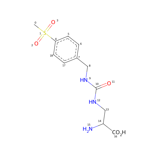 CS(=O)(=O)c1ccc(CNC(=O)NCC(N)C(=O)O)cc1